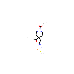 COC(=O)C1(C/C=N/[S+]([O-])C(C)C)CCN(C(=O)OC(C)(C)C)CC1